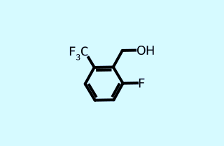 OCc1c(F)cccc1C(F)(F)F